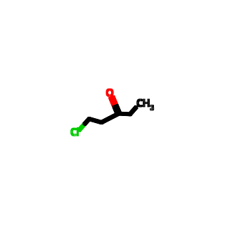 CCC(=O)CCCl